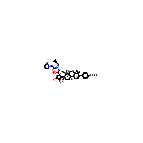 CC[C@@]12CC[C@@]3([C@@H](O)CN(CC4CC4)C(=O)CN4CCCC4=O)CC(=O)C(C(C)C)=C3[C@H]1CC[C@@H]1[C@@]3(C)CC=C(c4ccc(C(=O)O)cc4)C(C)(C)[C@H]3CC[C@]12C